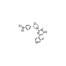 CCN(CC)c1ccc([C@H]2CN(c3nc(-c4ccncc4F)cc(=O)n3C)CCO2)cc1